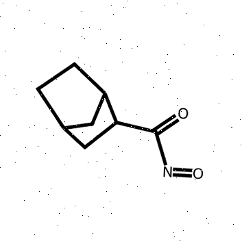 O=NC(=O)C1CC2CCC1C2